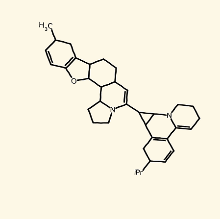 CC1C=CC2=C(C1)C1CCC3C=C(C4C5C6=C(C=CC(C(C)C)C6)C6=CCCCN6C45)N4CCCC4C3C1O2